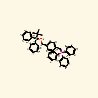 CC(C)(C)[Si](OCc1ccc(C=P(c2ccccc2)(c2ccccc2)c2ccccc2)cc1)(c1ccccc1)c1ccccc1